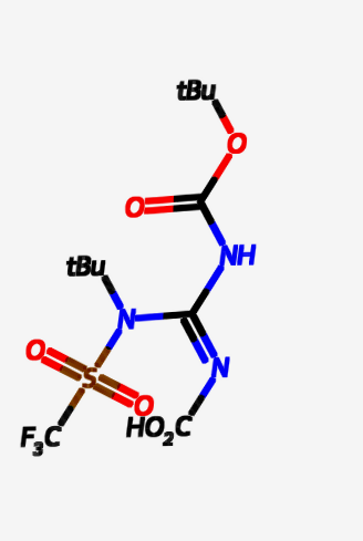 CC(C)(C)OC(=O)NC(=NC(=O)O)N(C(C)(C)C)S(=O)(=O)C(F)(F)F